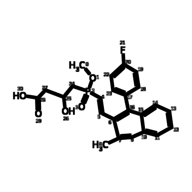 COP(=O)(C=Cc1c(C)cc2ccccc2c1-c1ccc(F)cc1)CC(O)CC(=O)O